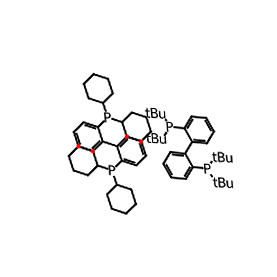 CC(C)(C)P(c1ccccc1-c1ccccc1P(C(C)(C)C)C(C)(C)C)C(C)(C)C.c1ccc(P(C2CCCCC2)C2CCCCC2)c(-c2ccccc2P(C2CCCCC2)C2CCCCC2)c1